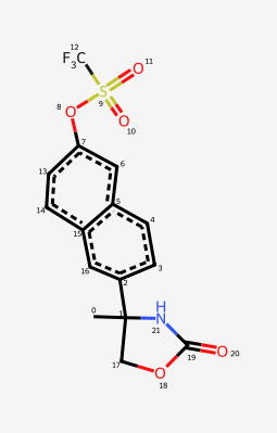 CC1(c2ccc3cc(OS(=O)(=O)C(F)(F)F)ccc3c2)COC(=O)N1